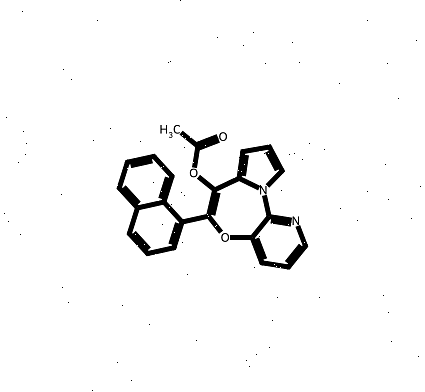 CC(=O)OC1=C(c2cccc3ccccc23)Oc2cccnc2-n2cccc21